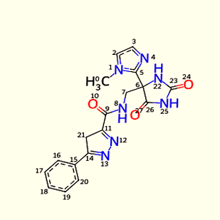 Cn1ccnc1C1(CNC(=O)C2=NN=C(c3ccccc3)C2)NC(=O)NC1=O